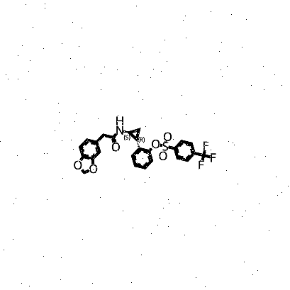 O=C(Cc1ccc2c(c1)OCO2)N[C@H]1C[C@@H]1c1ccccc1OS(=O)(=O)c1ccc(C(F)(F)F)cc1